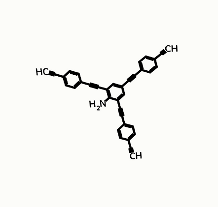 C#Cc1ccc(C#Cc2cc(C#Cc3ccc(C#C)cc3)c(N)c(C#Cc3ccc(C#C)cc3)c2)cc1